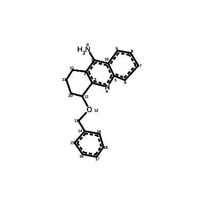 Nc1c2c(nc3ccccc13)C(OCc1ccccc1)CCC2